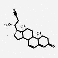 C[C@H](CC#N)[C@H]1CCC2C3C=CC4=CC(=O)CC[C@]4(C)C3CC[C@@]21C